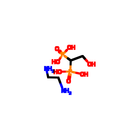 NCCN.O=P(O)(O)C(CO)P(=O)(O)O